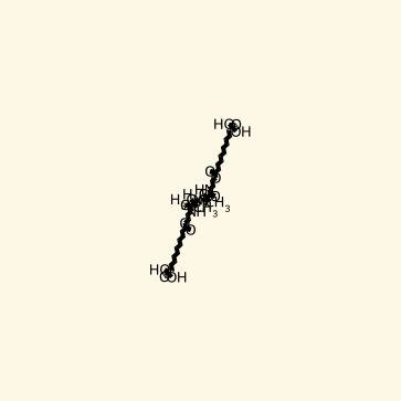 CC(C)(/N=N/C(C)(C)C(=O)NCCOC(=O)CCCCCCCCCCP(=O)(O)O)C(=O)NCCOC(=O)CCCCCCCCCCP(=O)(O)O